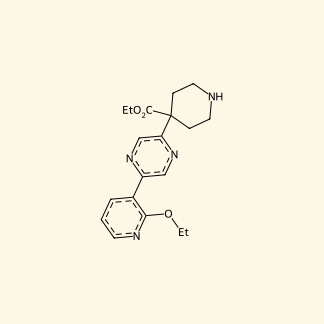 CCOC(=O)C1(c2cnc(-c3cccnc3OCC)cn2)CCNCC1